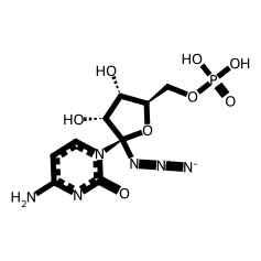 [N-]=[N+]=N[C@@]1(n2ccc(N)nc2=O)O[C@H](COP(=O)(O)O)[C@@H](O)[C@H]1O